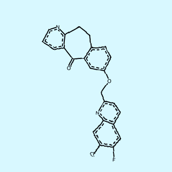 O=C1c2cc(OCc3ccc4cc(F)c(Cl)cc4n3)ccc2CCc2ncccc21